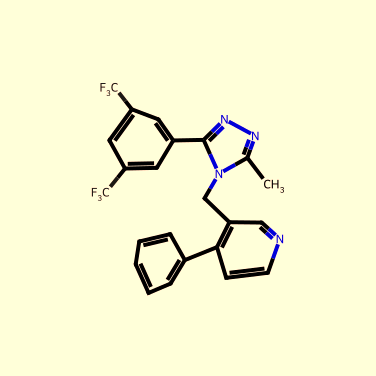 Cc1nnc(-c2cc(C(F)(F)F)cc(C(F)(F)F)c2)n1Cc1cnccc1-c1ccccc1